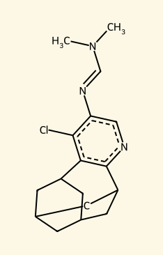 CN(C)/C=N/c1cnc2c(c1Cl)C1CC3CC(CC2C3)C1